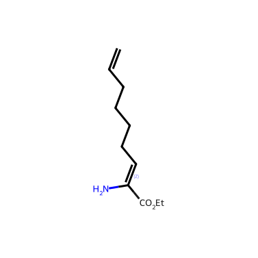 C=CCCCC/C=C(\N)C(=O)OCC